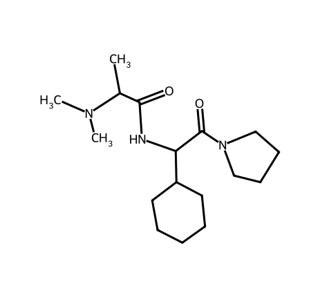 CC(C(=O)NC(C(=O)N1CCCC1)C1CCCCC1)N(C)C